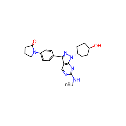 CCCCNc1ncc2c(-c3ccc(N4CCCC4=O)cc3)nn([C@H]3CC[C@H](O)CC3)c2n1